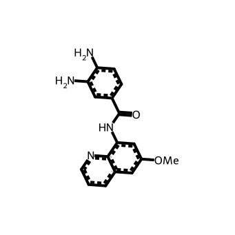 COc1cc(NC(=O)c2ccc(N)c(N)c2)c2ncccc2c1